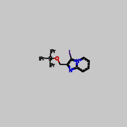 CC(C)[Si](OCc1nc2ccccn2c1I)(C(C)C)C(C)C